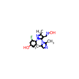 Cc1nn(-c2ccc(O)cc2F)c(-n2c(C)cnc2C)c1C=NO